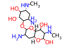 CNC1C(O)[C@H]2O[C@H](O[C@@H]3C(N)C[C@@H](NC)C(O)[C@H]3O)C(N)C[C@@H]2O[C@@H]1O